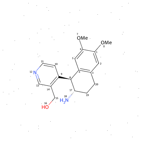 COc1cc2c(cc1OC)[C@H](c1ccncc1CO)[C@@H](N)CC2